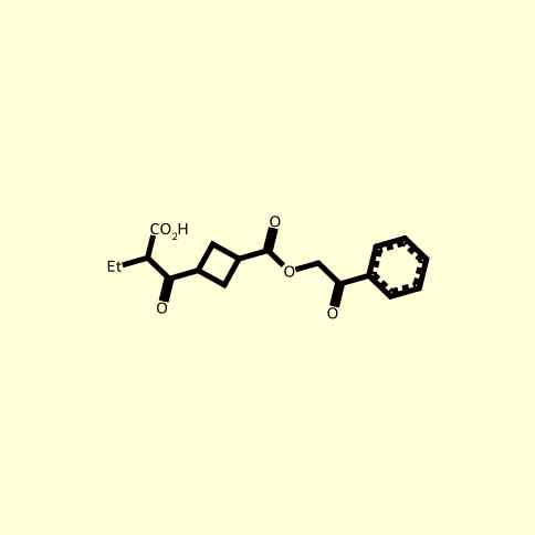 CCC(C(=O)O)C(=O)C1CC(C(=O)OCC(=O)c2ccccc2)C1